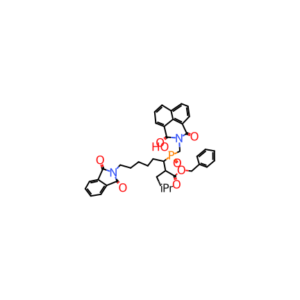 CC(C)CC(C(=O)OCc1ccccc1)C(CCCCCN1C(=O)c2ccccc2C1=O)P(=O)(O)CN1C(=O)c2cccc3cccc(c23)C1=O